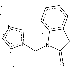 O=C1Cc2ccccc2N1Cn1ccnc1